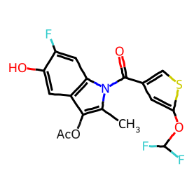 CC(=O)Oc1c(C)n(C(=O)c2csc(OC(F)F)c2)c2cc(F)c(O)cc12